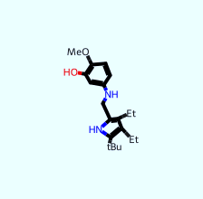 CCc1c(CNc2ccc(OC)c(O)c2)[nH]c(C(C)(C)C)c1CC